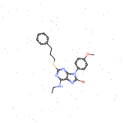 CCNc1nc(SCCCc2ccccc2)nc2c1nc(Br)n2-c1ccc(OC)cc1